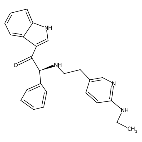 CCNc1ccc(CCN[C@H](C(=O)c2c[nH]c3ccccc23)c2ccccc2)cn1